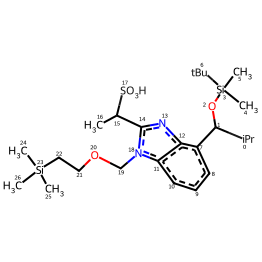 CC(C)C(O[Si](C)(C)C(C)(C)C)c1cccc2c1nc(C(C)S(=O)(=O)O)n2COCC[Si](C)(C)C